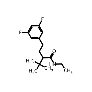 CCNC(=O)C(CCc1cc(F)cc(F)c1)C(C)(C)C